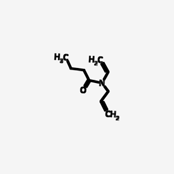 C=CCN(C=C)C(=O)CCC